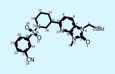 Cn1c(=O)n(CC(C)(C)C)c2ccc(C3CCCN(S(=O)(=O)c4cccc(C#N)c4)C3)nc21